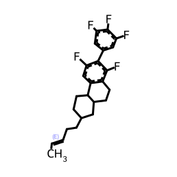 C/C=C/CCC1CCC2c3cc(F)c(-c4cc(F)c(F)c(F)c4)c(F)c3CCC2C1